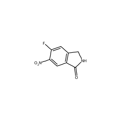 O=C1NCc2cc(F)c([N+](=O)[O-])cc21